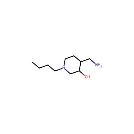 CCCCN1CCC(CN)C(O)C1